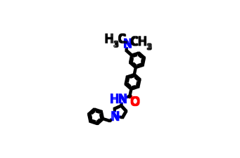 CN(C)Cc1cccc(-c2ccc(C(=O)NC3CCN(Cc4ccccc4)C3)cc2)c1